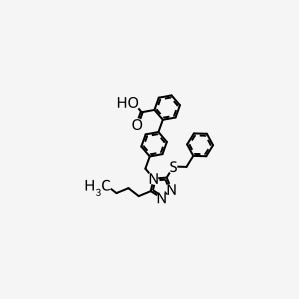 CCCCc1nnc(SCc2ccccc2)n1Cc1ccc(-c2ccccc2C(=O)O)cc1